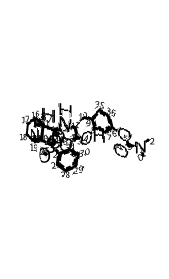 CN(C)C(=O)Oc1ccc(C[C@H](NC(=O)[C@@H]2C3CCC(CC3)N2S(=O)(=O)c2ccccc2)C(=O)O)cc1